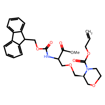 C=CCOC(=O)N1CCOC[C@H]1COCC(NC(=O)OCC1c2ccccc2-c2ccccc21)C(=O)OC